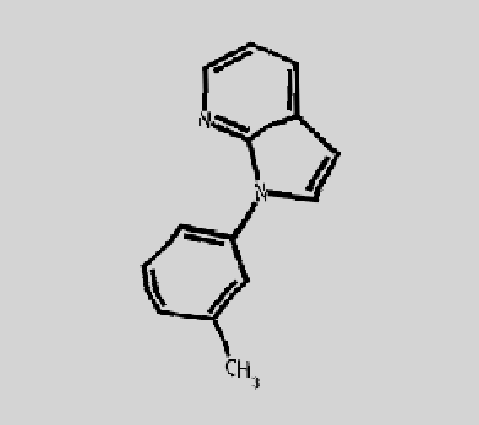 Cc1cccc(-n2ccc3cccnc32)c1